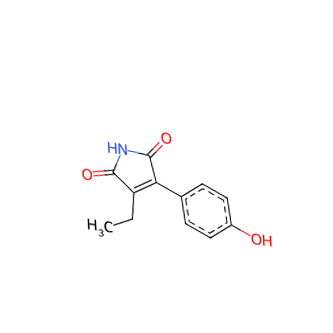 CCC1=C(c2ccc(O)cc2)C(=O)NC1=O